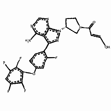 Nc1ncnc2c1c(-c1ccc(Oc3c(F)c(F)cc(F)c3F)cc1F)nn2[C@@H]1CCN(C(=O)/C=C/O)C1